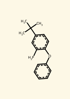 CC(C)(C)c1ccc(Oc2ccccc2)c(P)c1